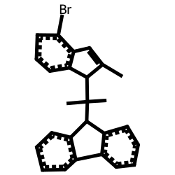 CC1=Cc2c(Br)cccc2C1C(C)(C)C1c2ccccc2-c2ccccc21